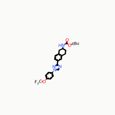 CC(C)(C)OC(=O)NC1CCc2cc(-c3ncn(-c4ccc(OC(F)(F)F)cc4)n3)ccc2C1